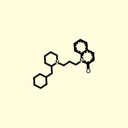 O=c1ccc2ccccc2n1CCCN1CCCCC1CC1CCCCC1